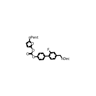 CCCCCCCCCCCc1ccc(-c2ccc(OC(=O)Oc3ccc(CCCCC)o3)cc2)c(F)c1